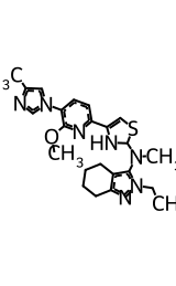 CCn1nc2c(c1N(C)C1NC(c3ccc(-n4cnc(C)c4)c(OC)n3)=CS1)CCCC2